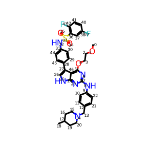 COCCOc1nc(Nc2ccc(CN3CCC(C)CC3)cc2)nc2[nH]cc(-c3ccc(NS(=O)(=O)c4cc(F)ccc4F)cc3)c12